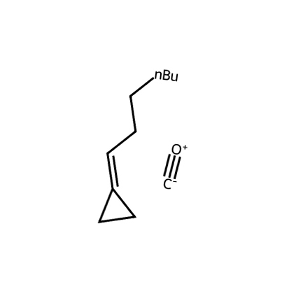 CCCCCCC=C1CC1.[C-]#[O+]